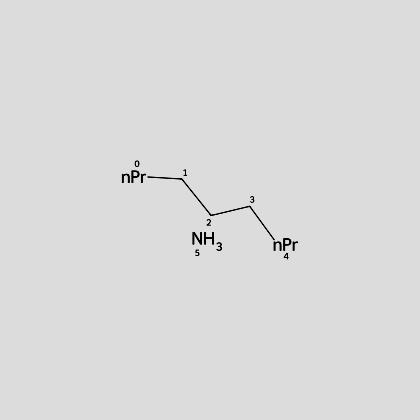 CCCCCCCCC.N